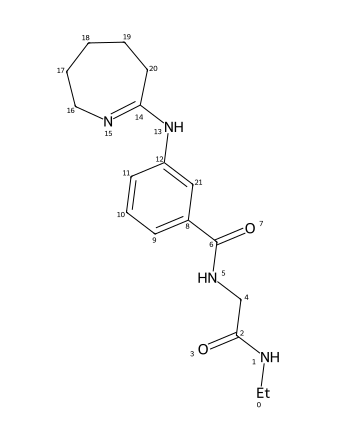 [CH2]CNC(=O)CNC(=O)c1cccc(NC2=NCCCCC2)c1